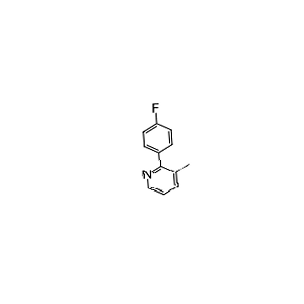 Cc1cccnc1-c1ccc(F)cc1